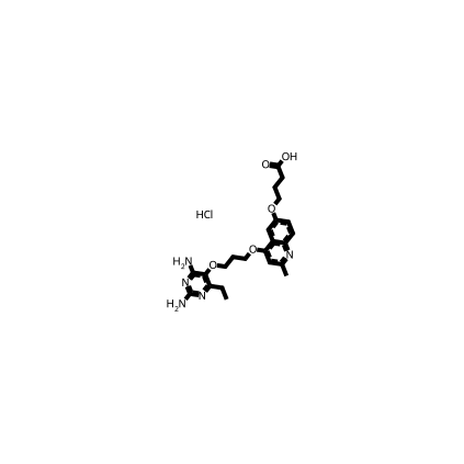 CCc1nc(N)nc(N)c1OCCCOc1cc(C)nc2ccc(OCCCC(=O)O)cc12.Cl